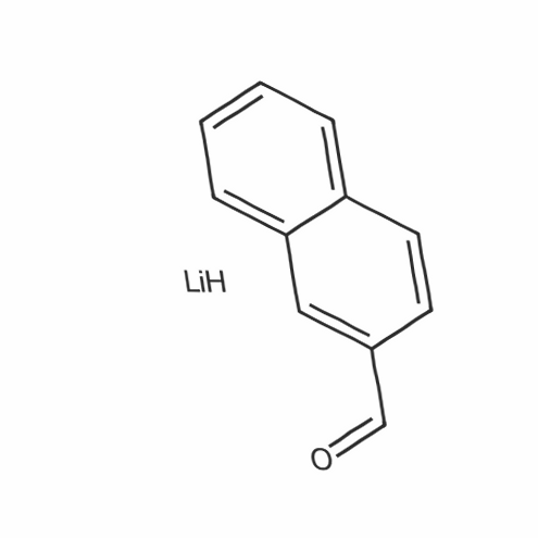 O=Cc1ccc2ccccc2c1.[LiH]